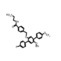 CCCOc1cc(-c2ccc(F)cc2)c(OCc2ccc(C(=O)NCCC(=O)O)cc2)cc1-c1ccc(OC(F)(F)F)cc1